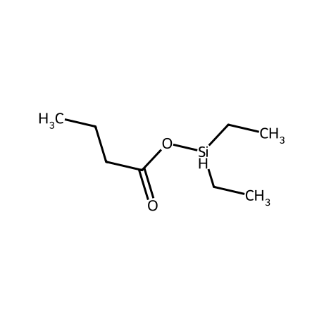 CCCC(=O)O[SiH](CC)CC